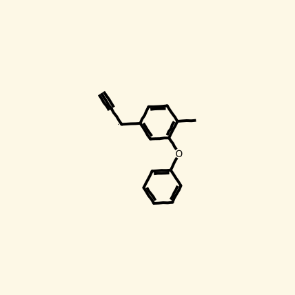 C#C[CH]c1ccc(C)c(Oc2ccccc2)c1